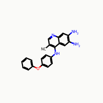 N#Cc1cnc2cc(N)c(N)cc2c1Nc1ccc(Oc2ccccc2)cc1